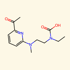 CCN(CCN(C)c1cccc(C(C)=O)n1)C(=O)O